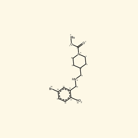 CC(C)(C)OC(=O)N1CCC(CNCc2cc(Br)ccc2[N+](=O)[O-])CC1